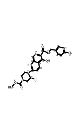 CC[C@H]1CN(C(=O)OC(C)(C)C)CCN1c1ccc2c(O)c(C(=O)NCc3ccc(C#N)nc3)ncc2n1